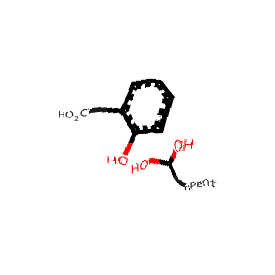 CCCCCC(O)O.O=C(O)c1ccccc1O